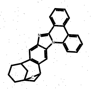 c1ccc2c(c1)c1ccccc1n1c3cc4c(cc3nc21)C1CCCC2(C1)CC4C2